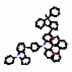 CC1(c2ccccc2)c2ccccc2-c2c(-c3ccc(N(c4ccc(-c5cccc6c5c5ccccc5n6-c5ccccc5)cc4)c4ccccc4-c4cccc5cccc(-c6ccccc6)c45)cc3)cccc21